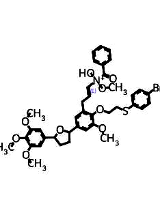 COc1cc(C2CCC(c3cc(OC)c(OC)c(OC)c3)O2)cc(C/C=C/[N+](O)(OC)C(=O)c2ccccc2)c1OCCSc1ccc(Br)cc1